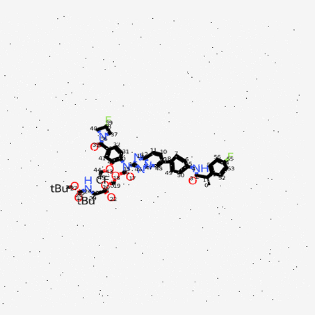 C[C@@H](C(=O)Nc1ccc(-c2ccc3nc(N(C(=O)OCOC(=O)[C@@H](NC(=O)OC(C)(C)C)C(C)(C)C)c4ccc(C(=O)N5CC(F)C5)cc4OCC(F)(F)F)nn3c2)cc1)c1ccc(F)cc1